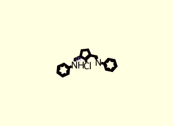 ClC1=C(C=Nc2ccccc2)CC/C1=C/Nc1ccccc1